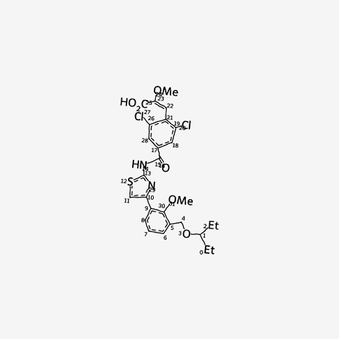 CCC(CC)OCc1cccc(-c2csc(NC(=O)c3cc(Cl)c(/C=C(/OC)C(=O)O)c(Cl)c3)n2)c1OC